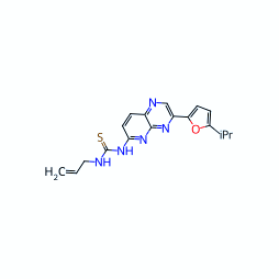 C=CCNC(=S)Nc1ccc2ncc(-c3ccc(C(C)C)o3)nc2n1